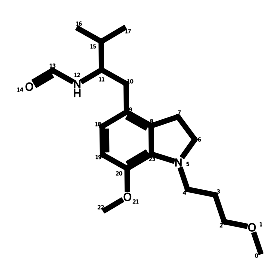 COCCCN1CCc2c(CC(NC=O)C(C)C)ccc(OC)c21